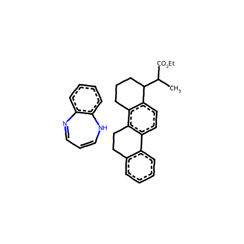 C1=CNc2ccccc2N=C1.CCOC(=O)C(C)C1CCCc2c1ccc1c2CCc2ccccc2-1